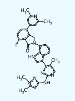 Cc1cc(-c2ccc(F)c3c2CN(c2cccc4c(-c5nc(Nc6cc(C)n(C)n6)ncc5C)c[nH]c24)C3=O)cc(C)n1